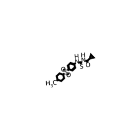 CC1CCC(S(=O)(=O)c2ccc(NC(=S)NC(=O)C3CC3)cc2)CC1